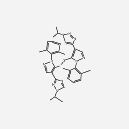 Cc1cccc(C)c1-n1ncc(-c2nnn(C(C)C)n2)c1SSc1c(-c2nnn(C(C)C)n2)cnn1-c1c(C)cccc1C